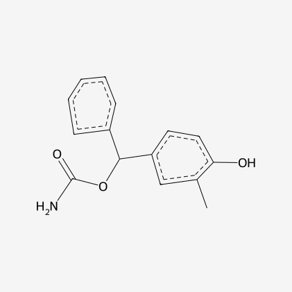 Cc1cc(C(OC(N)=O)c2ccccc2)ccc1O